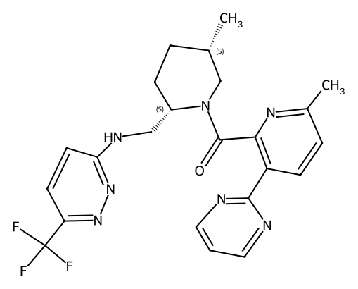 Cc1ccc(-c2ncccn2)c(C(=O)N2C[C@@H](C)CC[C@H]2CNc2ccc(C(F)(F)F)nn2)n1